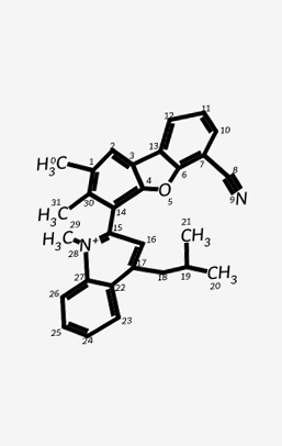 Cc1cc2c(oc3c(C#N)cccc32)c(-c2cc(CC(C)C)c3ccccc3[n+]2C)c1C